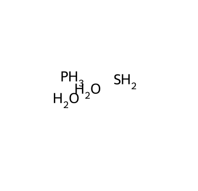 O.O.P.S